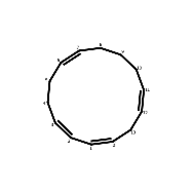 [C]1=CC=CCCC=CCCCC=CC1